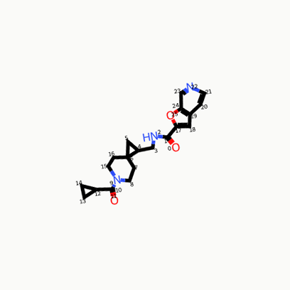 O=C(NCC1CC12CCN(C(=O)C1CC1)CC2)c1cc2ccncc2o1